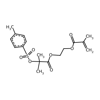 C=C(C)C(=O)OCCOC(=O)C(C)(C)OS(=O)(=O)c1ccc(C)cc1